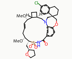 CO[C@H]1/C=C/C[C@@H](OC)[C@@H](C[C@H]2CCCO2)S(=O)(=O)NC(=O)c2ccc3c(c2)N(C[C@@H]2CC[C@H]21)C[C@@]1(CCCc2cc(Cl)ccc21)CO3